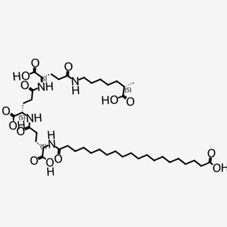 C[C@@H](CCCCCNC(=O)CC[C@H](NC(=O)CC[C@H](NC(=O)CC[C@H](NC(=O)CCCCCCCCCCCCCCCCCCC(=O)O)C(=O)O)C(=O)O)C(=O)O)C(=O)O